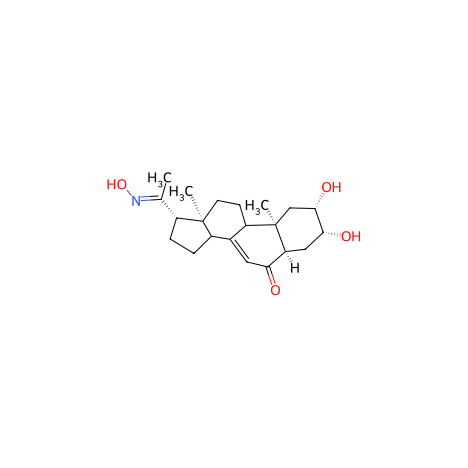 C/C(=N\O)[C@H]1CCC2C3=CC(=O)[C@@H]4C[C@@H](O)[C@@H](O)C[C@]4(C)C3CC[C@@]21C